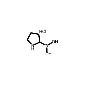 Cl.OB(O)C1CCCN1